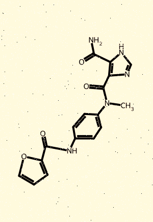 CN(C(=O)c1nc[nH]c1C(N)=O)c1ccc(NC(=O)c2ccco2)cc1